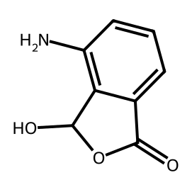 Nc1cccc2c1C(O)OC2=O